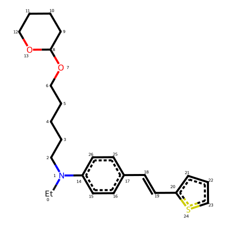 CCN(CCCCCOC1CCCCO1)c1ccc(C=Cc2cccs2)cc1